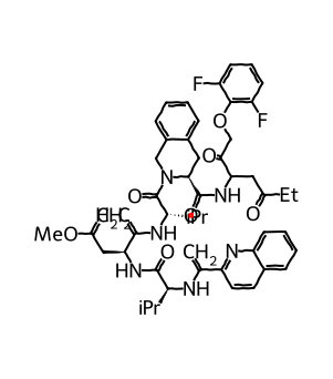 C=C(C[C@H](NC(=O)[C@@H](NC(=C)c1ccc2ccccc2n1)C(C)C)C(=C)N[C@H](C(=O)N1Cc2ccccc2C[C@H]1C(=O)NC(CC(=O)CC)C(=O)COc1c(F)cccc1F)C(C)C)OC